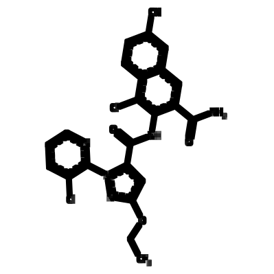 N#Cc1ccc2c(Cl)c(NC(=O)c3cc(OCC(F)(F)F)nn3-c3ncccc3Cl)c(C(N)=O)cc2c1